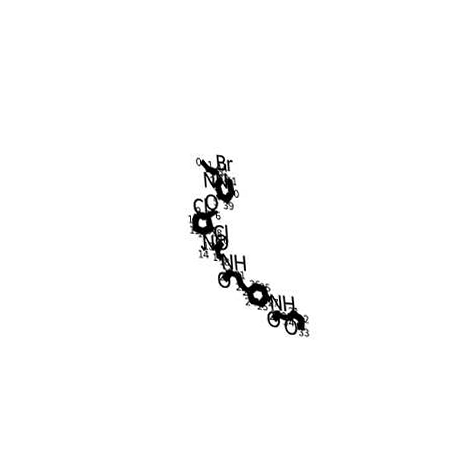 Cc1nc2c(OCc3c(Cl)ccc(N(C)C(=O)CNC(=O)C=Cc4ccc(NC(=O)c5ccco5)cc4)c3Cl)cccn2c1Br